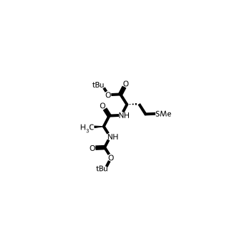 CSCC[C@H](NC(=O)[C@H](C)NC(=O)OC(C)(C)C)C(=O)OC(C)(C)C